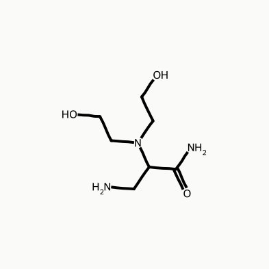 NCC(C(N)=O)N(CCO)CCO